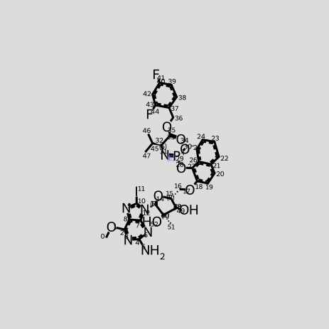 COc1nc(N)nc2c1nc(I)n2[C@@H]1O[C@H](COc2ccc3ccccc3c2O/[P+]([O-])=N/[C@H](C(=O)OCc2ccc(F)cc2F)C(C)C)[C@@H](O)[C@@]1(C)O